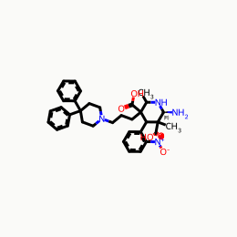 CC1N[C@@H](N)C(C)(C(=O)O)C(c2ccccc2[N+](=O)[O-])C1(CCCN1CCC(c2ccccc2)(c2ccccc2)CC1)C(=O)O